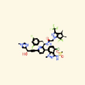 C[C@@H]1c2c(C(F)(F)F)nn(CC(=O)N[C@@H](Cc3cc(F)cc(F)c3)c3nc(C#C[C@H](O)c4cn(C)cn4)ccc3-c3ccc(Cl)c4c(NS(C)(=O)=O)nn(C)c34)c2C(F)(F)[C@@H]1C